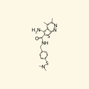 Cc1nnc2sc(C(=O)NCc3ccc(SN(C)C)cc3)c(N)c2c1C